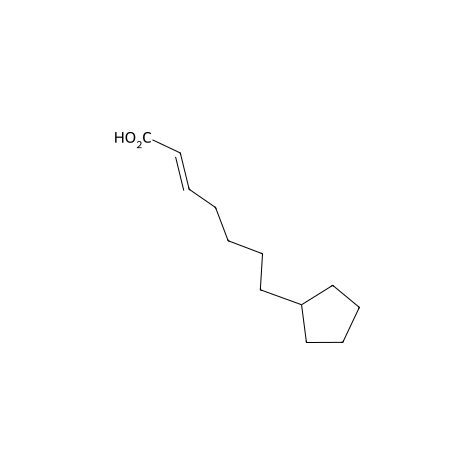 O=C(O)C=CCCCCC1CCCC1